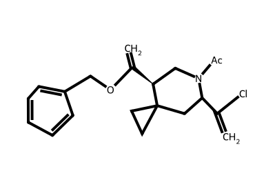 C=C(Cl)C1CC2(CC2)[C@@H](C(=C)OCc2ccccc2)CN1C(C)=O